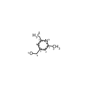 Cc1cc(C[O])cc(C)n1